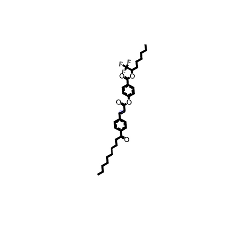 CCCCCCCCCC(=O)c1ccc(/C=C/C(=O)Oc2ccc(C(=O)OC(CCCCCC)C(F)(F)F)cc2)cc1